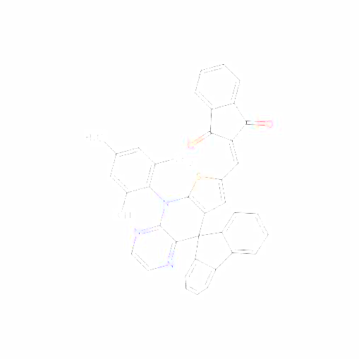 Cc1cc(C)c(N2c3nccnc3C3(c4ccccc4-c4ccccc43)c3cc(C=C4C(=O)c5ccccc5C4=O)sc32)c(C)c1